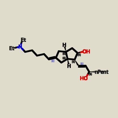 CCCCC[C@H](O)/C=C/[C@@H]1[C@H]2C/C(=C/CCCCN(CC)CC)C[C@H]2C[C@H]1O